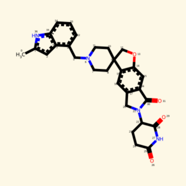 Cc1cc2c(CN3CCC4(CC3)COc3cc5c(cc34)CN(C3CCC(=O)NC3=O)C5=O)cccc2[nH]1